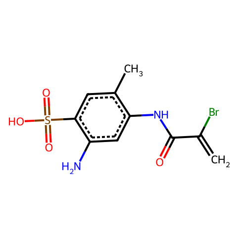 C=C(Br)C(=O)Nc1cc(N)c(S(=O)(=O)O)cc1C